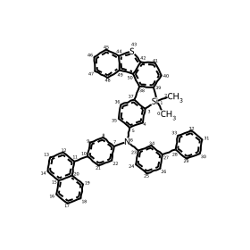 C[Si]1(C)c2cc(N(c3ccc(-c4cccc5ccccc45)cc3)c3cccc(-c4ccccc4)c3)ccc2-c2c1ccc1sc3ccccc3c21